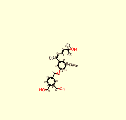 CC/C(=C/C=C/C(O)(CC)CC)c1cc(OC)cc(OCc2ccc(CO)c(CO)c2)c1